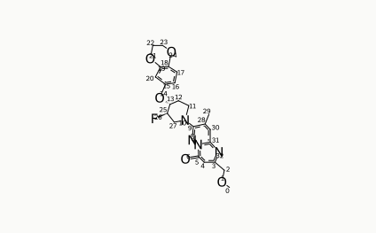 COCc1cc(=O)n2nc(N3CC[C@@H](Oc4ccc5c(c4)OCCO5)[C@H](F)C3)c(C)cc2n1